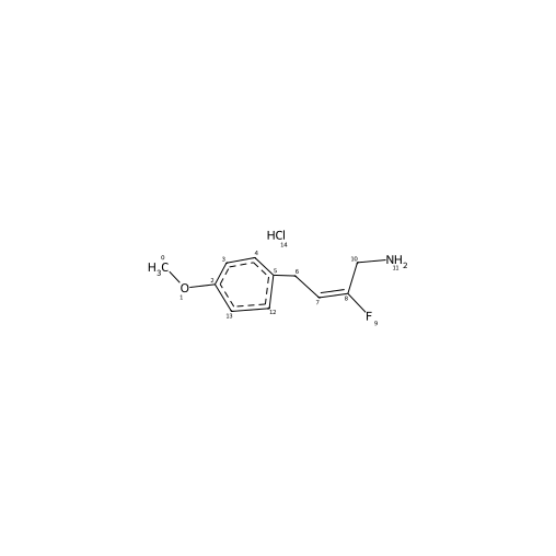 COc1ccc(C/C=C(/F)CN)cc1.Cl